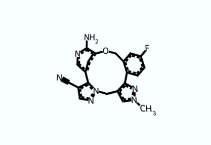 Cn1cc2c(n1)-c1ccc(F)cc1COc1cc(cnc1N)-c1c(C#N)cnn1C2